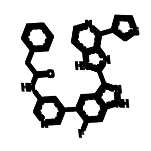 O=C(Cc1ccccc1)Nc1cncc(-c2cc3c(-c4nc5c(-c6ccsc6)nccc5[nH]4)n[nH]c3cc2F)c1